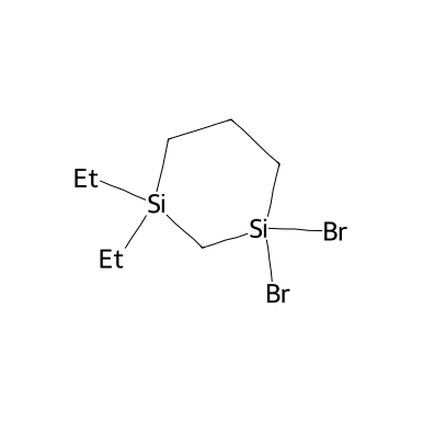 CC[Si]1(CC)CCC[Si](Br)(Br)C1